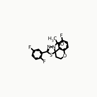 CC(=O)N1N=C(c2cc(F)ccc2F)SC12CCOc1ccc(F)cc12